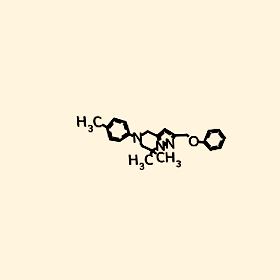 Cc1ccc(N2Cc3cc(COc4ccccc4)nn3C(C)(C)C2)cc1